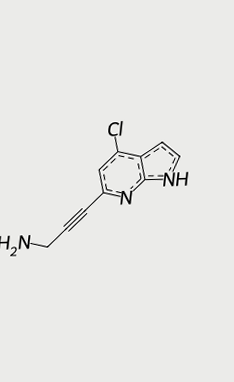 NCC#Cc1cc(Cl)c2cc[nH]c2n1